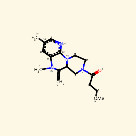 C=C1C2CN(C(=O)CCOC)CCN2c2ncc(C(F)(F)F)cc2N1C